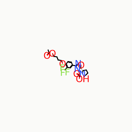 CC(=O)OCCCCOc1ccc(-c2noc([C@@H]3CCCN3C(=O)O)n2)cc1C(F)(F)F